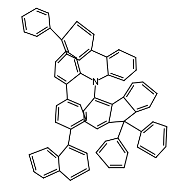 c1ccc(-c2ccc(-c3ccccc3N(c3ccccc3-c3ccc(-c4cccc5ccccc45)cc3)c3cccc4c3-c3ccccc3C4(c3ccccc3)c3ccccc3)cc2)cc1